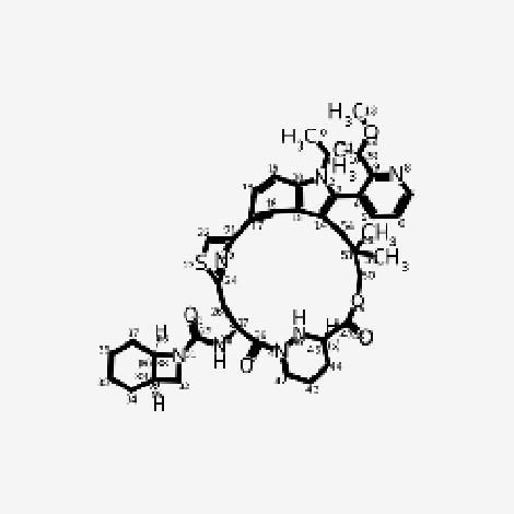 CCn1c(-c2cccnc2[C@H](C)OC)c2c3cc(ccc31)-c1csc(n1)C[C@H](NC(=O)N1C[C@H]3CCCC[C@H]31)C(=O)N1CCC[C@H](N1)C(=O)OCC(C)(C)C2